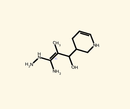 C/C(=C(/N)NN)C(O)C1CC=CNC1